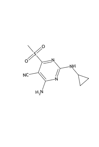 CS(=O)(=O)c1nc(NC2CC2)nc(N)c1C#N